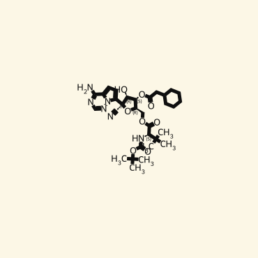 CC(C)(C)OC(=O)N[C@H](C(=O)OC[C@H]1O[C@@](C#N)(c2ccc3c(N)ncnn23)[C@H](O)[C@@H]1OC(=O)CC1CCCCC1)C(C)(C)C